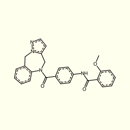 COc1ccccc1C(=O)Nc1ccc(C(=O)N2Cc3ccnn3Cc3ccccc32)cc1